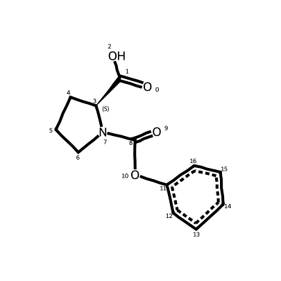 O=C(O)[C@@H]1CCCN1C(=O)Oc1ccccc1